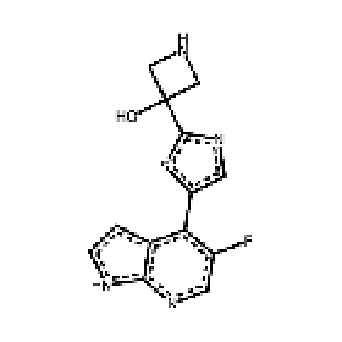 OC1(c2ncc(-c3c(F)cnc4[nH]ccc34)s2)CNC1